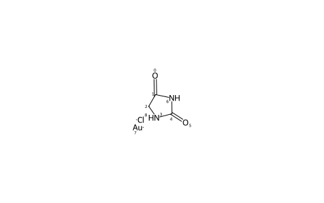 O=C1CNC(=O)N1.[Au].[Cl]